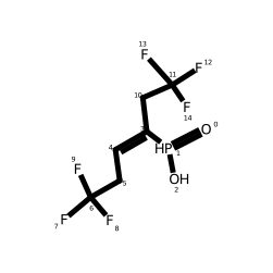 O=[PH](O)C(=CCC(F)(F)F)CC(F)(F)F